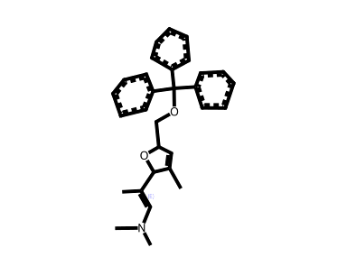 CC1=CC(COC(c2ccccc2)(c2ccccc2)c2ccccc2)OC1/C(C)=C/N(C)C